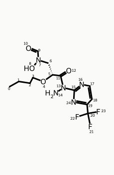 CCCCO[C@H](CN(O)C=O)C(=O)N(N)c1nccc(C(F)(F)F)n1